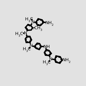 C[C@H]1CC(N(C)c2ccc(N(C)c3ccc(Nc4ccc(N(C)c5ccc(N)cc5)cc4)cc3)cc2)=CC=C1N(C)c1ccc(N)cc1